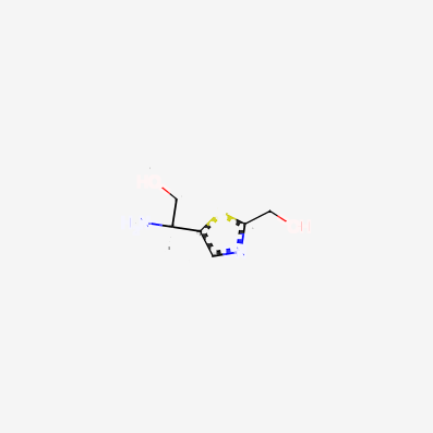 C[C@](N)(CO)c1cnc(CO)s1